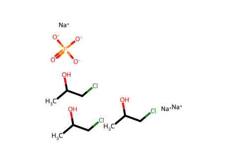 CC(O)CCl.CC(O)CCl.CC(O)CCl.O=P([O-])([O-])[O-].[Na+].[Na+].[Na+]